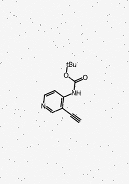 C#Cc1cnccc1NC(=O)OC(C)(C)C